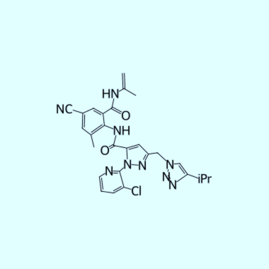 C=C(C)NC(=O)c1cc(C#N)cc(C)c1NC(=O)c1cc(Cn2cc(C(C)C)nn2)nn1-c1ncccc1Cl